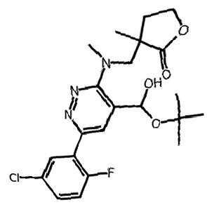 CN(CC1(C)CCOC1=O)c1nnc(-c2cc(Cl)ccc2F)cc1C(O)OC(C)(C)C